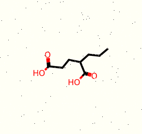 CCCC(C[CH]C(=O)O)C(=O)O